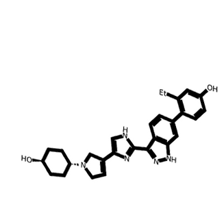 CCc1cc(O)ccc1-c1ccc2c(-c3nc(C4=CCN([C@H]5CC[C@H](O)CC5)C4)c[nH]3)n[nH]c2c1